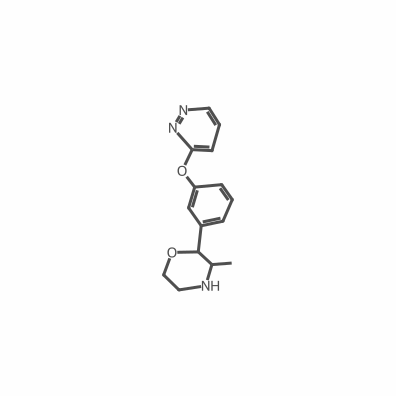 CC1NCCOC1c1cccc(Oc2cccnn2)c1